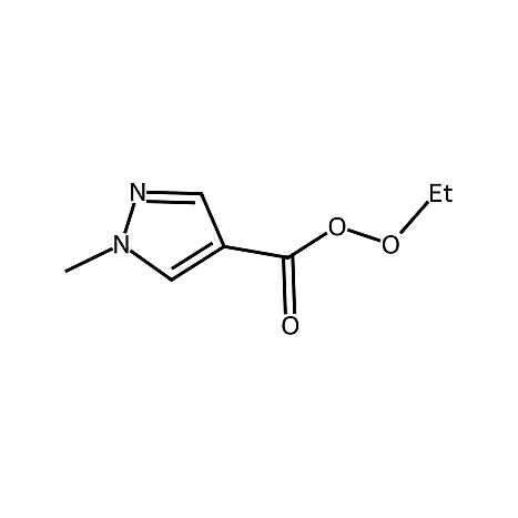 CCOOC(=O)c1cnn(C)c1